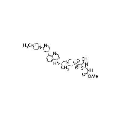 COC(=O)Nc1nc(C)c(S(=O)(=O)N2CCN(CC(C)Nc3ncnc4c(-c5ccnc(N6CCN(C)CC6)c5)cccc34)CC2)s1